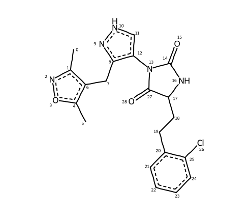 Cc1noc(C)c1Cc1n[nH]cc1N1C(=O)NC(CCc2ccccc2Cl)C1=O